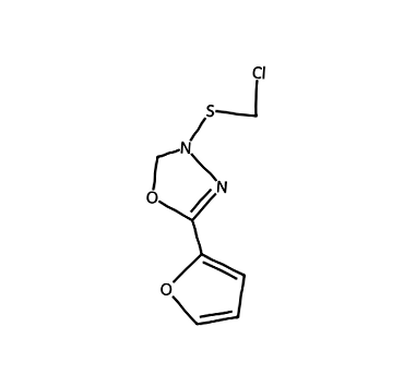 ClCSN1COC(c2ccco2)=N1